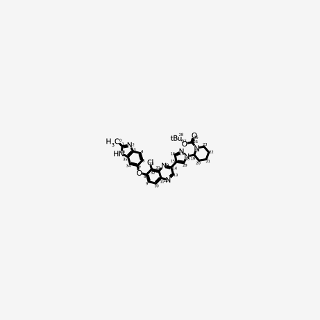 Cc1nc2ccc(Oc3ccc4ncc(-c5cnn(C6CCCCN6C(=O)OC(C)(C)C)c5)nc4c3Cl)cc2[nH]1